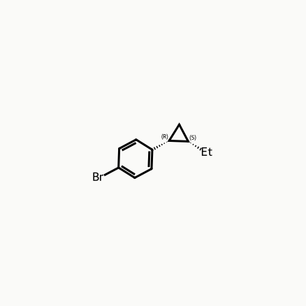 CC[C@H]1C[C@H]1c1ccc(Br)cc1